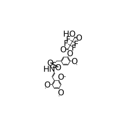 COc1cc(OC)c(C=CNS(=O)(=O)Cc2ccc(OC)c(OC(=O)C(F)(F)C(F)(F)C(=O)O)c2)c(OC)c1